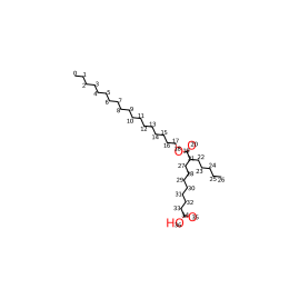 CCCCCCCCCCCCCCCCCCOC(=O)C(CCCCC)CCCCCCCC(=O)O